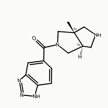 C[C@@]12CNC[C@H]1CN(C(=O)c1ccc3[nH]nnc3c1)C2